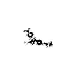 CC(C(=O)c1ccc(OCC(=O)OC(C)(C)C)cc1)[C@](C)(OC1CCN(C(=O)O)CC1)C(N)=O